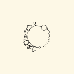 C[C@@H]1Nc2ncnc3nc(c(C4(C#N)CC4)cc23)OCCCCCCCN2CCC(CC2)C(F)(F)c2cccc1c2